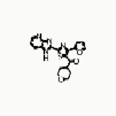 O=C(c1sc(-c2nc3ncccc3[nH]2)nc1-c1ccco1)C1CCOCC1